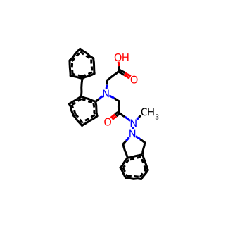 CN(C(=O)CN(CC(=O)O)c1ccccc1-c1ccccc1)N1Cc2ccccc2C1